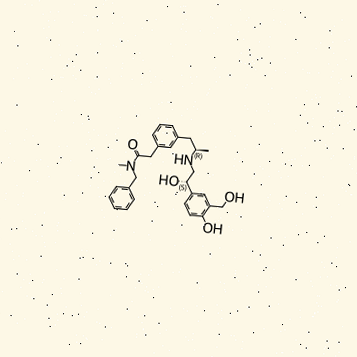 C[C@H](Cc1cccc(CC(=O)N(C)Cc2ccccc2)c1)NC[C@@H](O)c1ccc(O)c(CO)c1